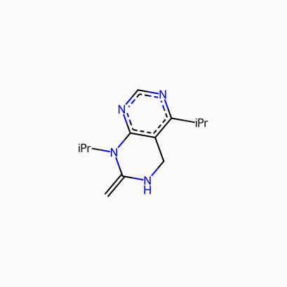 C=C1NCc2c(C(C)C)ncnc2N1C(C)C